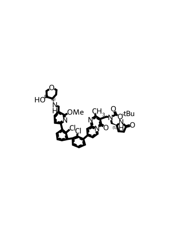 COc1nc(-c2cccc(-c3cccc(-c4ccn5c(=O)c(CN(C[C@@H]6CCC(=O)N6)C(=O)OC(C)(C)C)c(C)nc5c4)c3Cl)c2Cl)ccc1CN[C@H]1CCOC[C@@H]1O